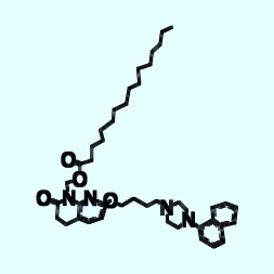 CCCCCCCCCCCCCCCC(=O)OCN1C(=O)CCc2ccc(OCCCCN3CCN(c4cccc5ccccc45)CC3)nc21